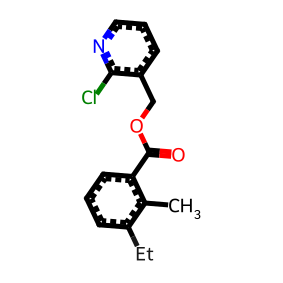 CCc1cccc(C(=O)OCc2cccnc2Cl)c1C